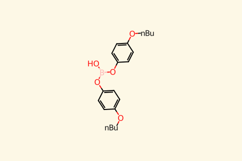 CCCCOc1ccc(OB(O)Oc2ccc(OCCCC)cc2)cc1